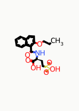 CCCOc1ccc2ccccc2c1C(=O)N[C@@H](CCS(=O)(=O)O)C(=O)O